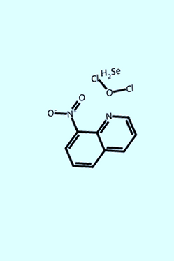 ClOCl.O=[N+]([O-])c1cccc2cccnc12.[SeH2]